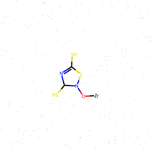 SC1=NC(S)N([O][Zr])S1